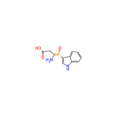 NC(CC(=O)O)[PH](=O)c1c[nH]c2ccccc12